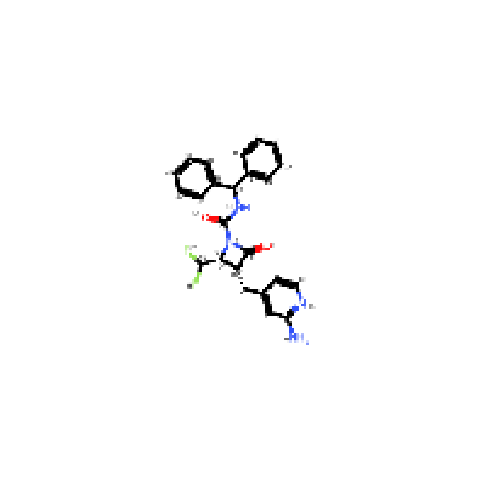 Nc1cc(C[C@H]2C(=O)N(C(=O)NC(c3ccccc3)c3ccccc3)[C@@H]2C(F)F)ccn1